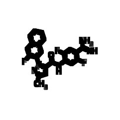 Cc1cc(C(=O)Nc2cc(F)c(C(=N)N)cc2F)n(-c2cc3ccccc3cc2F)n1